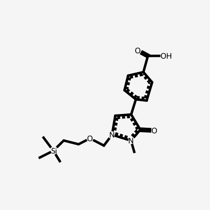 Cn1c(=O)c(-c2ccc(C(=O)O)cc2)cn1COCC[Si](C)(C)C